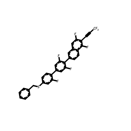 Fc1cc(SCc2ccccc2)ccc1-c1cc(F)c(-c2ccc3c(F)c(C#CC(F)(F)F)c(F)cc3c2)c(F)c1